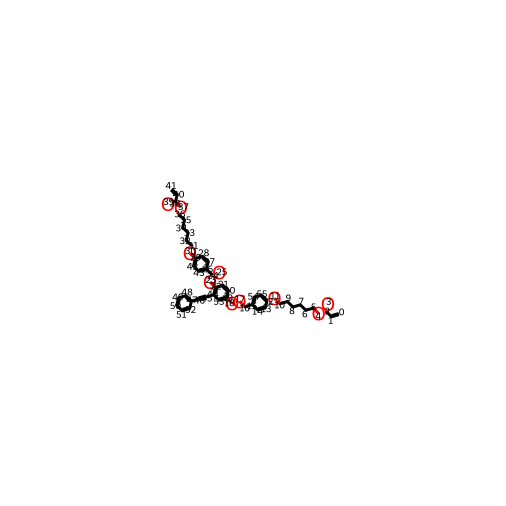 C=CC(=O)OCCCCCCOc1ccc(COOc2ccc(OC(=O)c3ccc(OCCCCCCOC(=O)C=C)cc3)c(C#Cc3ccccc3)c2)cc1